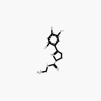 CCOC(=O)[C@H]1CCC(c2cc(F)c(F)cc2F)=N1